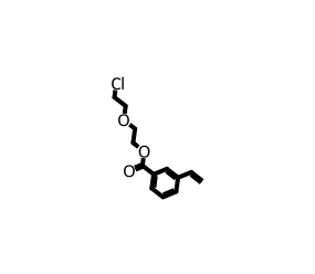 C=Cc1cccc(C(=O)OCCOCCCl)c1